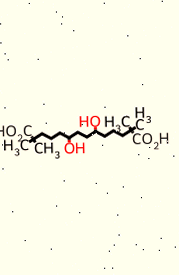 CC(C)(CCCC(O)CCC(O)CCCC(C)(C)C(=O)O)C(=O)O